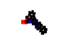 O=C(NO)C(c1ccccc1)N1CCN(c2ncc(-c3ccccc3)cn2)CC1